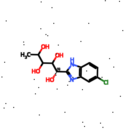 CC(O)C(O)C(O)[C@@H](O)c1nc2cc(Cl)ccc2[nH]1